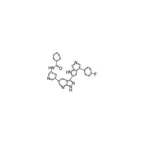 O=C(Nc1cncc(-c2cnc3[nH]nc(-c4cc5c(-c6ccc(F)cc6)cncc5[nH]4)c3c2)c1)c1ccccc1